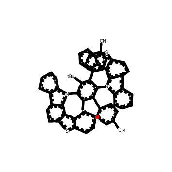 CC(C)(C)c1c(-c2ccc(C#N)cc2)c(-n2c3ccccc3c3ccc4sc5ccccc5c4c32)c(-c2ccc(C#N)cc2)c(C(C)(C)C)c1-n1c2ccccc2c2ccc3sc4ccccc4c3c21